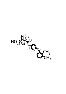 Cc1cccc(Oc2ccc(NC(=O)[C@](C)(NC(=O)O)C(C)(C)C)cn2)c1C